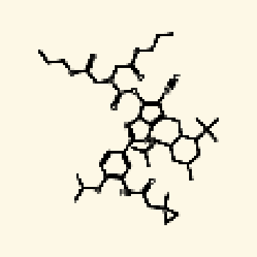 [C-]#[N+]c1c(CC2C(CC(C)C)CC(C)CC2C(C)(C)C)c2[nH]c(-c3ccc(OC(C)C)c(NC(=O)CC4(C)CC4)c3)nn2c1OC(=O)N(CC(=O)OCCC)CC(=O)OCCC